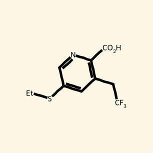 CCSc1cnc(C(=O)O)c(CC(F)(F)F)c1